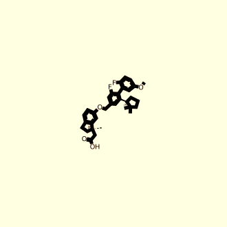 COc1ccc(F)c(-c2c(F)cc(COc3ccc4c(c3)[C@@](C)(CC(=O)O)CC4)cc2[C@H]2CCCC2(C)C)c1